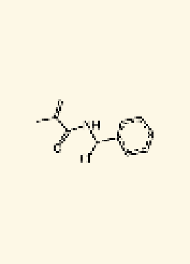 C=C(C)C(=O)NC(Cl)c1ccccc1